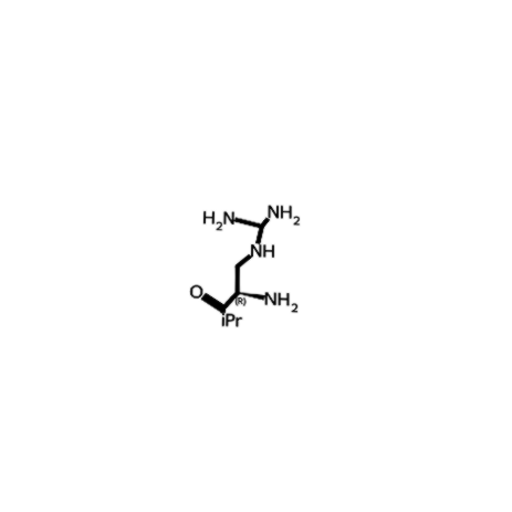 CC(C)C(=O)[C@H](N)CNC(N)N